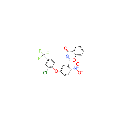 O=c1nc(-c2cc(Oc3ccc(C(F)(F)F)cc3Cl)ccc2[N+](=O)[O-])oc2ccccc12